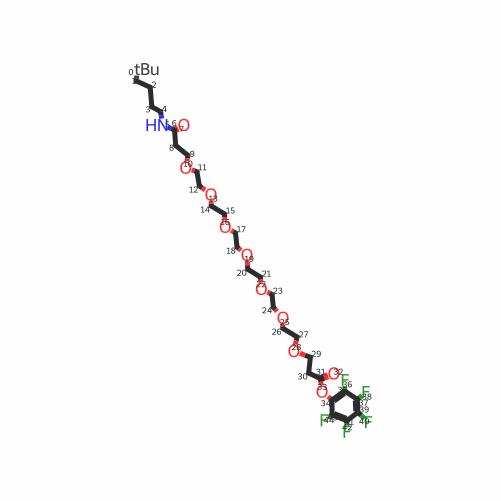 CC(C)(C)CCCCNC(=O)CCOCCOCCOCCOCCOCCOCCOCCC(=O)Oc1c(F)c(F)c(F)c(F)c1F